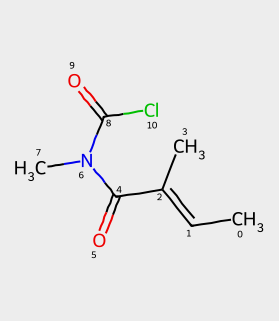 C/C=C(\C)C(=O)N(C)C(=O)Cl